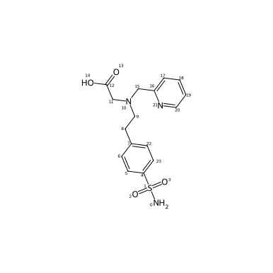 NS(=O)(=O)c1ccc(CCN(CC(=O)O)Cc2ccccn2)cc1